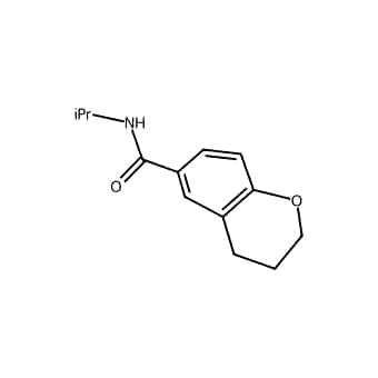 CC(C)NC(=O)c1ccc2c(c1)CCCO2